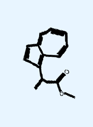 COC(=O)C(C)c1ccc2cccccc1-2